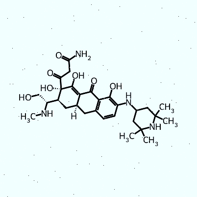 CN[C@H](CO)[C@@H]1C[C@@H]2Cc3ccc(NC4CC(C)(C)NC(C)(C)C4)c(O)c3C(=O)C2=C(O)[C@]1(O)C(=O)CC(N)=O